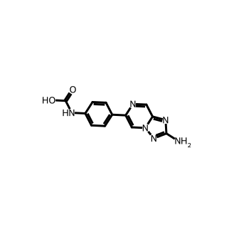 Nc1nc2cnc(-c3ccc(NC(=O)O)cc3)cn2n1